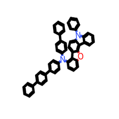 c1ccc(-c2ccc(-c3ccc(N(c4ccc(-c5ccccc5)cc4)c4cccc5oc6c(ccc7c6c6ccccc6n7-c6ccccc6)c45)cc3)cc2)cc1